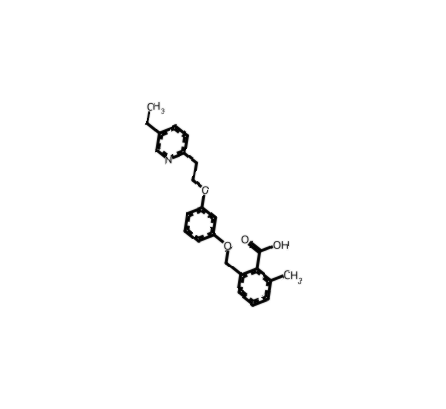 CCc1ccc(CCOc2cccc(OCc3cccc(C)c3C(=O)O)c2)nc1